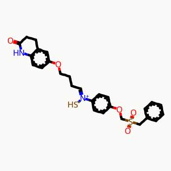 O=C1CCc2cc(OCCCC=[N+](S)c3ccc(OCS(=O)(=O)Cc4ccccc4)cc3)ccc2N1